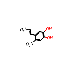 O=[N+]([O-])C=Cc1cc(O)c(O)cc1[N+](=O)[O-]